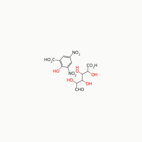 O=C(O)c1cc([N+](=O)[O-])cc([N+](=O)[O-])c1O.O=CC(O)C(O)C(O)C(O)C(=O)O